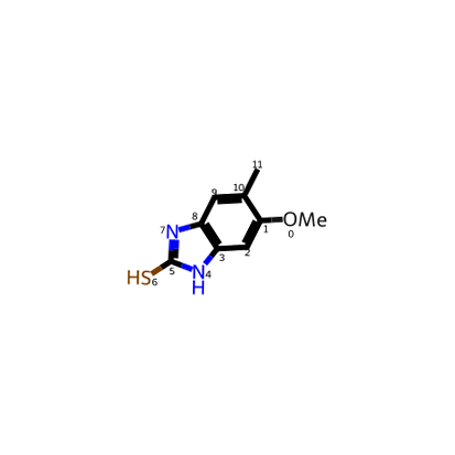 COc1cc2[nH]c(S)nc2cc1C